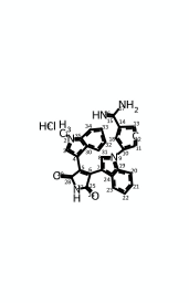 Cl.Cn1cc(C2=C(c3cn(-c4cccc(C(=N)N)c4)c4ccccc34)C(=O)NC2=O)c2ccccc21